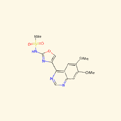 CNS(=O)(=O)Nc1nc(-c2ncnc3cc(OC)c(OC)cc23)co1